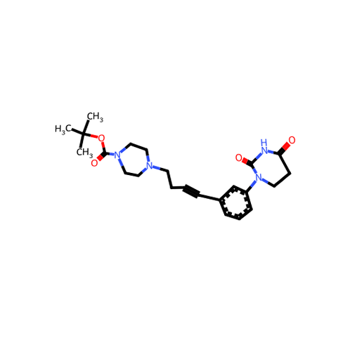 CC(C)(C)OC(=O)N1CCN(CCC#Cc2cccc(N3CCC(=O)NC3=O)c2)CC1